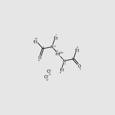 CCC(=O)[N](CC)[Hf+2][N](CC)C(=O)CC.[Cl-].[Cl-]